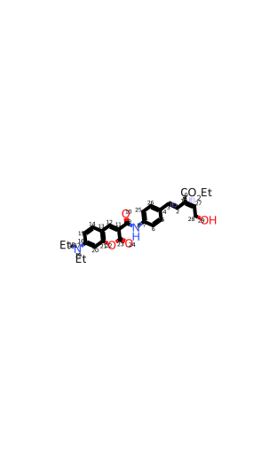 CCOC(=O)C(/C=C/c1ccc(NC(=O)c2cc3ccc(N(CC)CC)cc3oc2=O)cc1)=C/CO